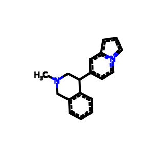 CN1Cc2ccccc2C(c2ccn3cccc3c2)C1